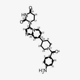 Nc1ccc(C(=O)N2CCC(c3ccn4c(N5CCC(=O)NC5=O)cnc4c3)CC2)cc1